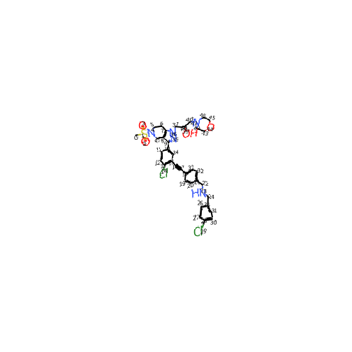 CS(=O)(=O)N1CCc2c(c(-c3ccc(Cl)c(C#Cc4ccc(CNCc5ccc(Cl)cc5)cc4)c3)nn2C[C@H](O)CN2CCOCC2)C1